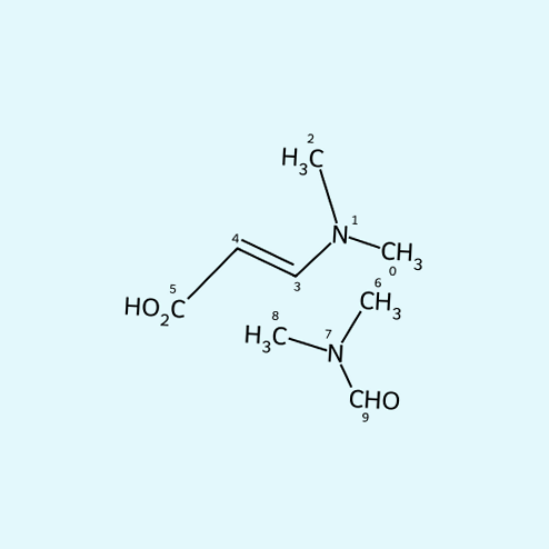 CN(C)C=CC(=O)O.CN(C)C=O